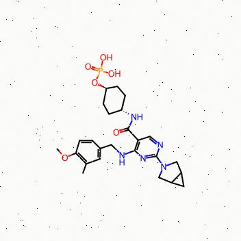 COc1ccc(CNc2nc(N3CC4CC4C3)ncc2C(=O)N[C@H]2CC[C@H](OP(=O)(O)O)CC2)cc1C